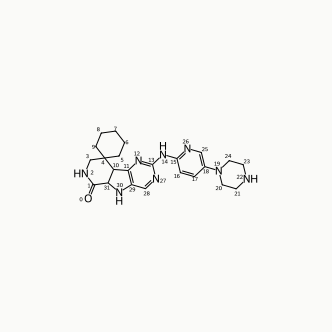 O=C1NCC2(CCCCC2)C2c3nc(Nc4ccc(N5CCNCC5)cn4)ncc3NC12